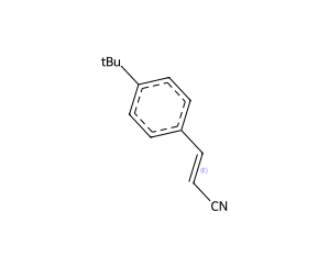 CC(C)(C)c1ccc(/C=C/C#N)cc1